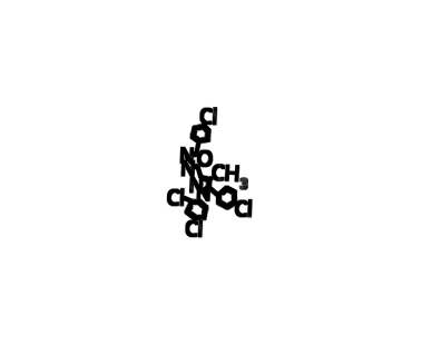 Cc1c(-c2nnc(-c3ccc(Cl)cc3)o2)nn(-c2ccc(Cl)cc2Cl)c1-c1ccc(Cl)cc1